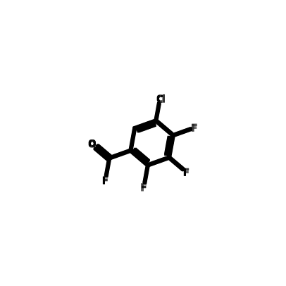 O=C(F)c1cc(Cl)c(F)c(F)c1F